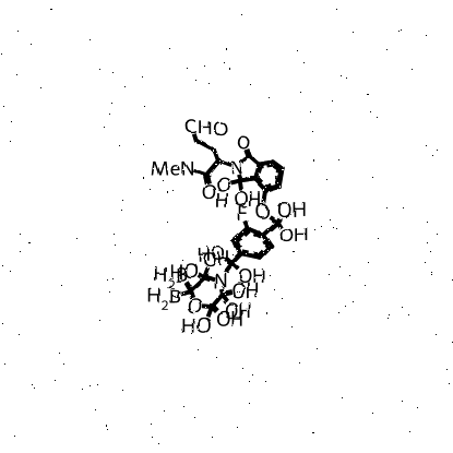 BC1(B)OC(O)(O)C(O)(O)N(C(O)(O)c2ccc(C(O)(O)Oc3cccc4c3C(O)(O)N(C(CCC=O)C(=O)NC)C4=O)c(F)c2)C1(O)O